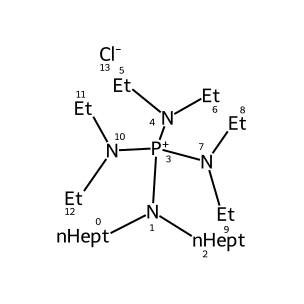 CCCCCCCN(CCCCCCC)[P+](N(CC)CC)(N(CC)CC)N(CC)CC.[Cl-]